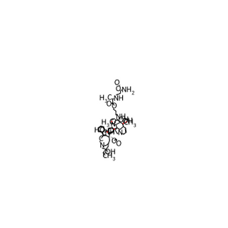 CCC1(O)CC2C[N@](CCc3c([nH]c4ccccc34)[C@@](COC=O)(c3cc4c(cc3CO)N(C)C3C45CCN4CC=C[C@](CC)(C45)[C@@H](O)[C@]3(O)C(=O)NCCCOC(=O)C(C)NCCC(N)OC=O)C2)C1